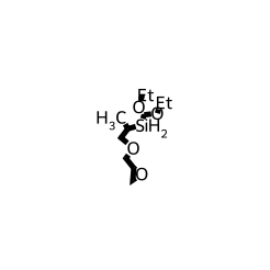 CCOC(OCC)[SiH2]C(C)COCC1CO1